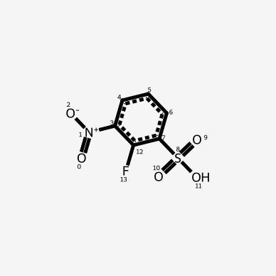 O=[N+]([O-])c1cccc(S(=O)(=O)O)c1F